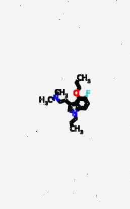 CCCOc1c(F)ccc2c1c(CCN(C)C)cn2CCC